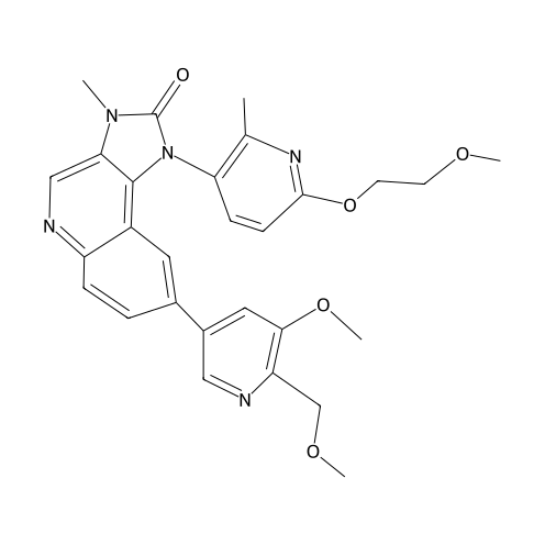 COCCOc1ccc(-n2c(=O)n(C)c3cnc4ccc(-c5cnc(COC)c(OC)c5)cc4c32)c(C)n1